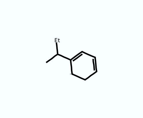 CCC(C)C1=CC=CC[CH]1